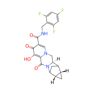 O=C(NCc1c(F)cc(F)cc1F)c1cn2c(c(O)c1=O)C(=O)N1C3CC([C@@H]4C[C@H]34)[C@@H]1C2